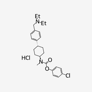 CCN(CC)Cc1ccc([C@H]2CC[C@H](N(C)C(=O)Oc3ccc(Cl)cc3)CC2)cc1.Cl